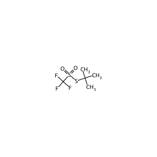 CC(C)(C)SS(=O)(=O)C(F)(F)F